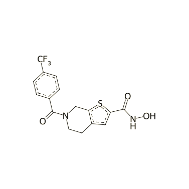 O=C(NO)c1cc2c(s1)CN(C(=O)c1ccc(C(F)(F)F)cc1)CC2